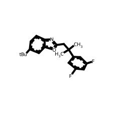 CC(C)(C)c1ccc2nc(CC(C)(C)c3cc(F)cc(F)c3)oc2c1